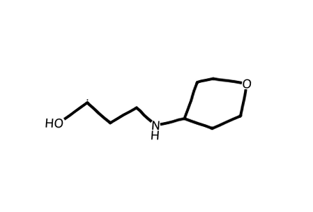 O[CH]CCNC1CCOCC1